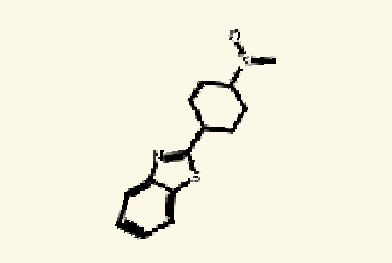 C[S+]([O-])C1CCC(c2nc3ccccc3s2)CC1